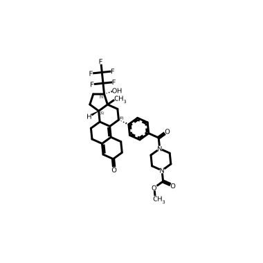 COC(=O)N1CCN(C(=O)c2ccc([C@H]3CC4(C)[C@@H](CC[C@@]4(O)C(F)(F)C(F)(F)F)C4CCC5=CC(=O)CCC5=C43)cc2)CC1